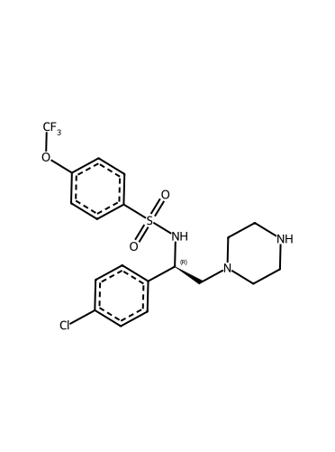 O=S(=O)(N[C@@H](CN1CCNCC1)c1ccc(Cl)cc1)c1ccc(OC(F)(F)F)cc1